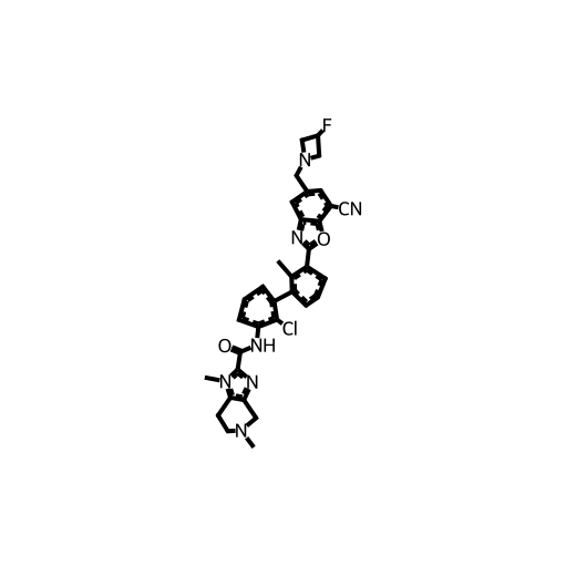 Cc1c(-c2nc3cc(CN4CC(F)C4)cc(C#N)c3o2)cccc1-c1cccc(NC(=O)c2nc3c(n2C)CCN(C)C3)c1Cl